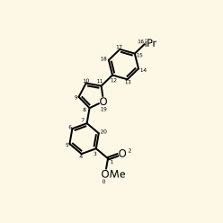 COC(=O)c1cccc(-c2ccc(-c3ccc(C(C)C)cc3)o2)c1